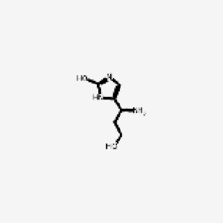 NC(CCO)c1cnc(O)[nH]1